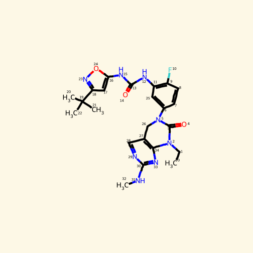 CCN1C(=O)N(c2ccc(F)c(NC(=O)Nc3cc(C(C)(C)C)no3)c2)Cc2cnc(NC)nc21